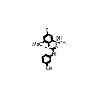 COc1cc(Cl)cc2c1NC(Nc1cccc(C#N)c1)=NS2(O)O